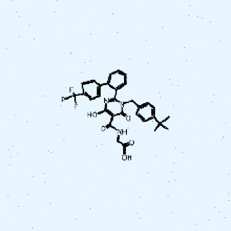 CC(C)(C)c1ccc(Cn2c(-c3ccccc3-c3ccc(C(F)(F)F)cc3)nc(O)c(C(=O)NCC(=O)O)c2=O)cc1